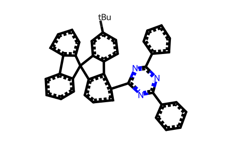 CC(C)(C)c1ccc2c(c1)C1(c3ccccc3-c3ccccc31)c1cccc(-c3nc(-c4ccccc4)nc(-c4ccccc4)n3)c1-2